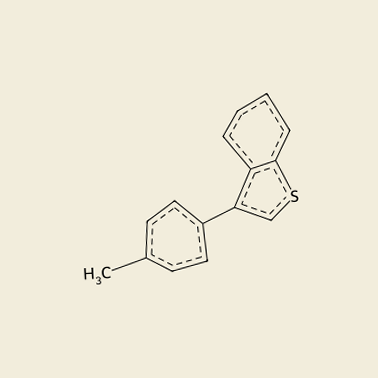 Cc1ccc(-c2csc3ccccc23)cc1